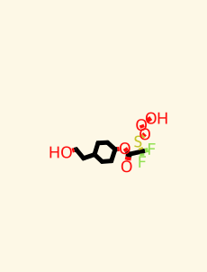 O=C(OC1CCC(CCO)CC1)C(F)(F)SOOO